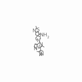 Cc1nc2c(s1)[C@@H](N)C1(CCN(c3nc(C)c(-c4cnn(C)c4C)n4nccc34)CC1)C2